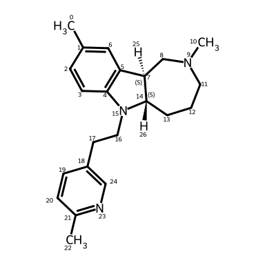 Cc1ccc2c(c1)[C@H]1CN(C)CCC[C@@H]1N2CCc1ccc(C)nc1